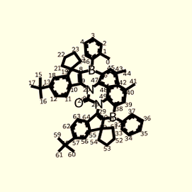 Cc1ccccc1B1C2=C(c3ccc(C(C)(C)C)cc3C23CCCC3)N2C(=O)N3C4=C(B(c5ccccc5)c5cc(C)c6c(C)cc1c2c6c53)C1(CCCC1)c1cc(C(C)(C)C)ccc14